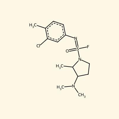 Cc1ccc(N=S(=O)(F)N2CCC(N(C)C)C2C)cc1Cl